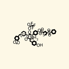 C[N+]1(Cc2ccc3c(c2)OCO3)CCC[C@H](N(C(=O)Nc2ccc(OS(=O)(=O)c3cc(S(=O)(=O)c4ccccc4)cs3)cc2)C(=O)[C@@H](N)Cc2ccc(O)cc2)C1.O=C([O-])C(F)(F)F